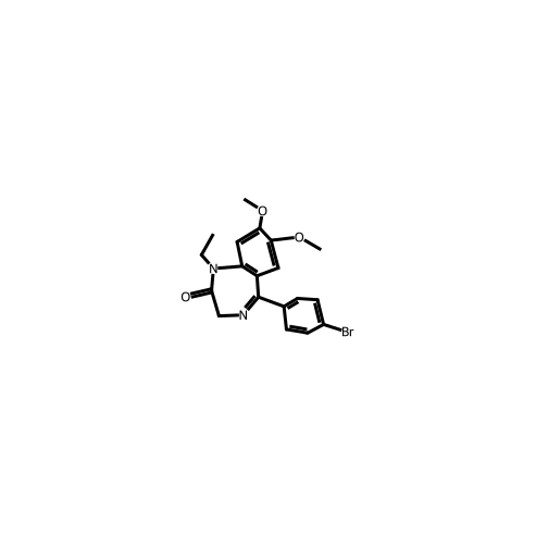 CCN1C(=O)CN=C(c2ccc(Br)cc2)c2cc(OC)c(OC)cc21